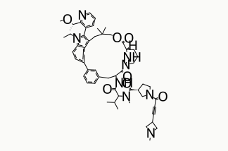 CCn1c(-c2cccnc2[C@H](C)OC)c2c3cc(ccc31)-c1cccc(c1)C[C@H](NC(=O)C(C(C)C)N(C)C(=O)[C@H]1CCN(C(=O)C#CC3CN(C)C3)C1)C(=O)N1CCC[C@H](N1)C(=O)OCC(C)(C)C2